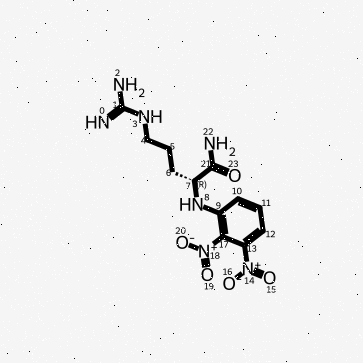 N=C(N)NCCC[C@@H](Nc1cccc([N+](=O)[O-])c1[N+](=O)[O-])C(N)=O